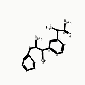 CNC(Cc1ccccc1)C(O)c1cccc(C(N)C(=O)OC)c1